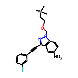 C[Si](C)(C)CCOCn1nc(C#Cc2cccc(F)c2)c2cc([N+](=O)[O-])ccc21